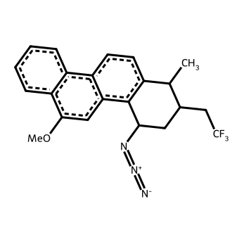 COc1cc2c3c(ccc2c2ccccc12)C(C)C(CC(F)(F)F)CC3N=[N+]=[N-]